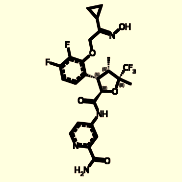 C[C@H]1[C@@H](c2ccc(F)c(F)c2OCC(=NO)C2CC2)[C@H](C(=O)Nc2ccnc(C(N)=O)c2)O[C@@]1(C)C(F)(F)F